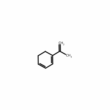 C=C(C)C1=CC=CC[CH]1